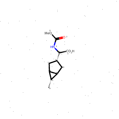 COC(=O)NC(C(=O)O)[C@H]1CC2C(C1)[C@@H]2C